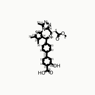 COC(=O)C[C@@H]1N=C(c2ccc(-c3ccc(C(=O)O)c(O)c3)cc2)c2c(sc(C)c2C)-n2c(C)nnc21